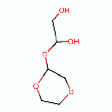 OCC(O)OC1COCCO1